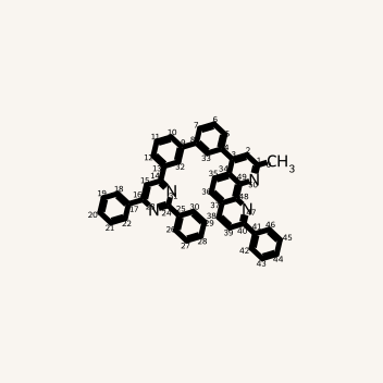 Cc1cc(-c2cccc(-c3cccc(-c4cc(-c5ccccc5)nc(-c5ccccc5)n4)c3)c2)c2ccc3ccc(-c4ccccc4)nc3c2n1